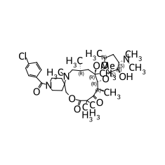 CO[C@]1(C)C[C@@H](C)CN(C)C2(CCN(C(=O)c3ccc(Cl)cc3)CC2)COC(=O)C(C)(C)C(=O)[C@H](C)[C@H]1O[C@@H]1O[C@H](C)C[C@H](N(C)C)[C@H]1O